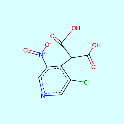 O=C(O)C(C(=O)O)c1c(Cl)cncc1[N+](=O)[O-]